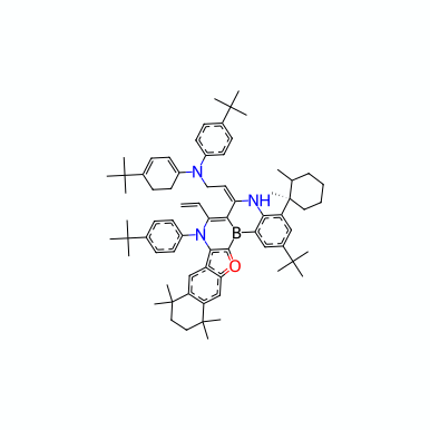 C=CC1=C2B(c3cc(C(C)(C)C)cc([C@]4(C)CCCCC4C)c3N/C2=C/CN(C2=CC=C(C(C)(C)C)CC2)c2ccc(C(C)(C)C)cc2)c2oc3cc4c(cc3c2N1c1ccc(C(C)(C)C)cc1)C(C)(C)CCC4(C)C